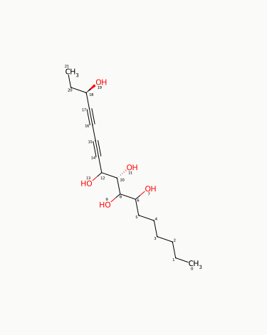 CCCCCCC(O)C(O)[C@@H](O)C(O)C#CC#C[C@H](O)CC